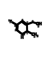 CC1NC=C(F)C=C1CO